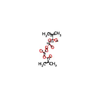 C=C(C)C(=O)OC(=O)OOC(=O)OC(=O)C(=C)C